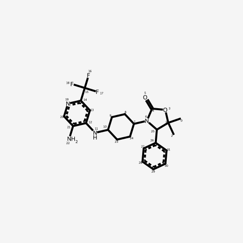 CC1(C)OC(=O)N(C2CCC(Nc3cc(C(F)(F)F)ncc3N)CC2)C1c1ccccc1